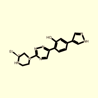 CC[C@H]1CN(c2ncc(-c3ccc(-c4cn[nH]c4)cc3O)nn2)CCN1